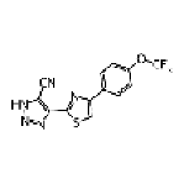 N#Cc1[nH]nnc1-c1nc(-c2ccc(OC(F)(F)F)cc2)cs1